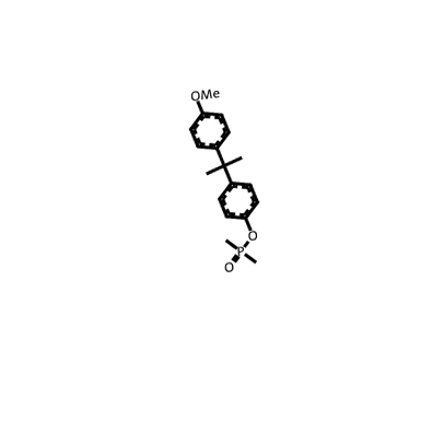 COc1ccc(C(C)(C)c2ccc(OP(C)(C)=O)cc2)cc1